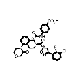 O=C(O)c1ccc(NC(=O)[C@H]2c3cccc(N4CCOCC4=O)c3CCN2C(=O)[C@H]2CC(c3cccc(Cl)c3F)=NO2)cc1